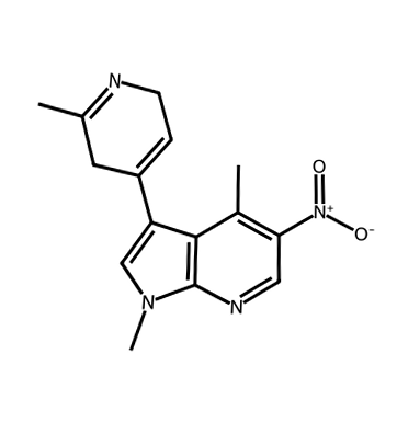 CC1=NCC=C(c2cn(C)c3ncc([N+](=O)[O-])c(C)c23)C1